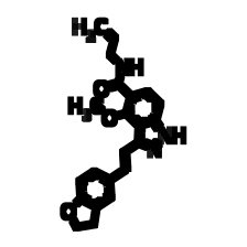 C=CCNC(=O)c1ccc2[nH]nc(C=Cc3ccc4c(c3)CCO4)c2c1OC